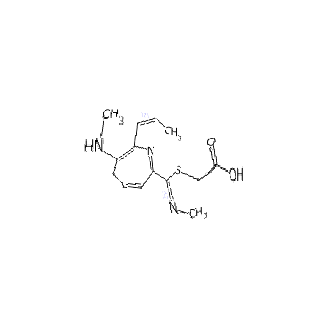 C/C=C\C1=C(NC)CC=CC(/C(=N/C)SCC(=O)O)=N1